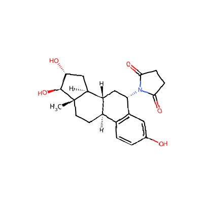 C[C@]12CC[C@@H]3c4ccc(O)cc4[C@@H](N4C(=O)CCC4=O)C[C@H]3[C@@H]1C[C@@H](O)[C@@H]2O